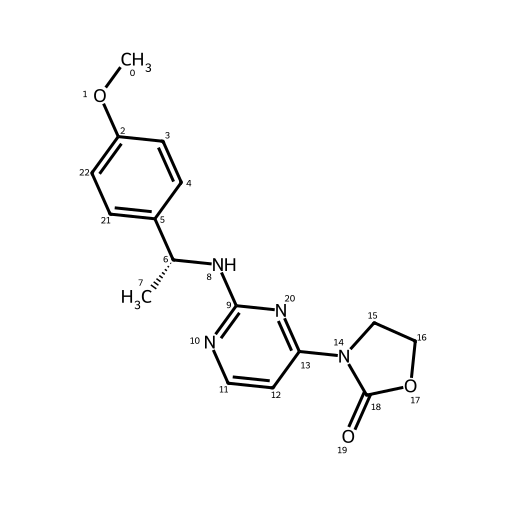 COc1ccc([C@@H](C)Nc2nccc(N3CCOC3=O)n2)cc1